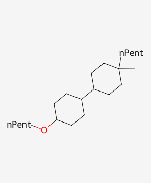 CCCCCOC1CCC(C2CCC(C)(CCCCC)CC2)CC1